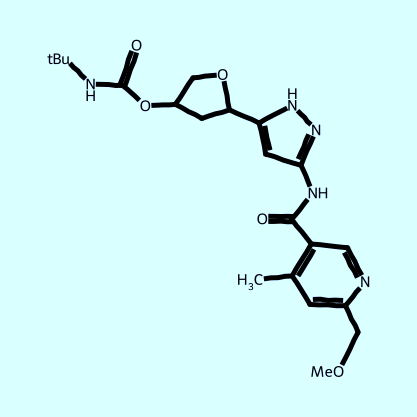 COCc1cc(C)c(C(=O)Nc2cc(C3CC(OC(=O)NC(C)(C)C)CO3)[nH]n2)cn1